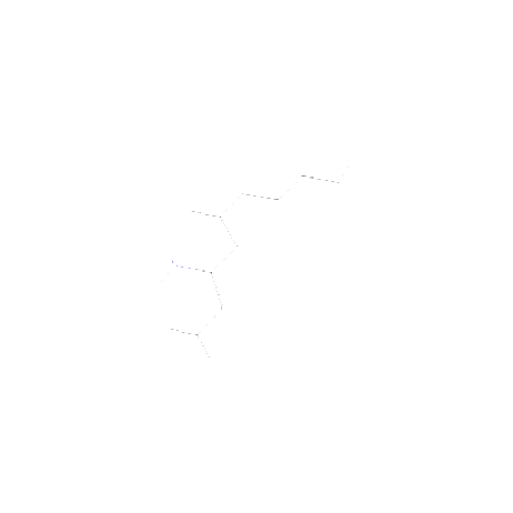 CCCCCC(C)CC(CC(C)C)NC